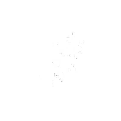 CC(NC(=O)C(C)N1Cc2ccc(-c3nc(NC4CCOCC4)ncc3Cl)cc2C1=O)c1cc(N2CCN(C)CC2)ncc1Cl